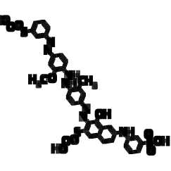 COc1cc(N=Nc2cccc(SOOO)c2)ccc1NNc1ccc(N=Nc2c(SOOO)cc3ccc(Nc4cccc(S(=O)(=O)O)c4)cc3c2O)cc1C